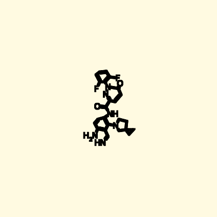 N=Cc1c(N)ccc(NC(=O)c2ccc(=O)n(-c3c(F)cccc3F)n2)c1N1CCC2(CC2)C1